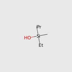 CC[Si](C)(O)C(C)C